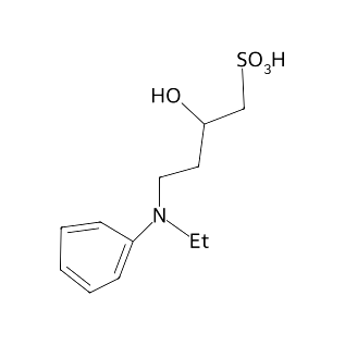 CCN(CCC(O)CS(=O)(=O)O)c1ccccc1